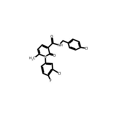 Cc1ccc(C(=O)NCc2ccc(Cl)cc2)c(=O)n1-c1ccc(F)c(Cl)c1